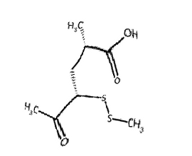 CSS[C@@H](C[C@H](C)C(=O)O)C(C)=O